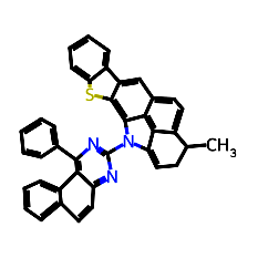 CC1CC=c2c3c1ccc1cc4c5ccccc5sc4c(c13)n2-c1nc(-c2ccccc2)c2c(ccc3ccccc32)n1